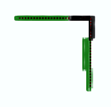 Cl.Cl.Cl.Cl.Cl.Cl.Cl.Cl.Cl.Cl.Cl.Cl.Cl.Cl.Cl.Cl.Cl.Cl.Cl.Cl.Cl.Cl.Cl.Cl.Cl.Cl.Cl.Cl.Cl.Cl.Cl.Cl.Cl.Cl.Cl.Cl.Cl.Cl.Cl.Cl.Cl.Cl.[Cl-].[Cl-].[Cl-].[Cl-].[Cl-].[Cl-].[Cl-].[Cl-].[Cl-].[Cl-].[Cl-].[Cl-].[Cl-].[Cl-].[Cl-].[Cl-].[Cl-].[Cl-].[Cl-].[Cl-].[Cl-].[Cl-].[Cl-].[Cl-].[Cl-].[Cl-].[Cl-].[Cl-].[Cl-].[Li+].[Li+].[Li+].[Li+].[Li+].[Li+].[Li+].[Li+].[Li+].[Li+].[Li+].[Li+].[Li+].[Li+].[Li+].[Li+].[Li+].[Li+].[Li+].[Li+].[Li+].[Li+].[Li+].[Li+].[Li+].[Li+].[Li+].[Li+].[Li+]